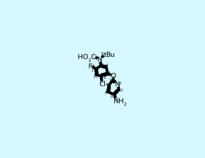 CC(C)(C)N(C(=O)O)c1cc(Oc2ccc(N)cn2)c(Cl)cc1F